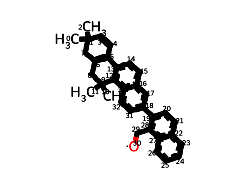 CC1(C)C=CC2=C(C1)CC(C)(C)c1c2ccc2cc(-c3ccc4ccccc4c3C[O])ccc12